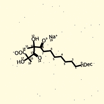 CCCCCCCCCCCCCCCCCC(=O)C(C)(O)C(=O)C(C)(O)C(=O)[O-].[Na+]